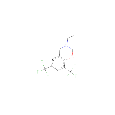 CCN1COc2c(cc(C(F)(F)F)cc2C(F)(F)F)C1